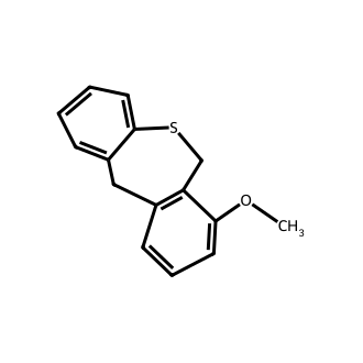 COc1cccc2c1CSc1ccccc1C2